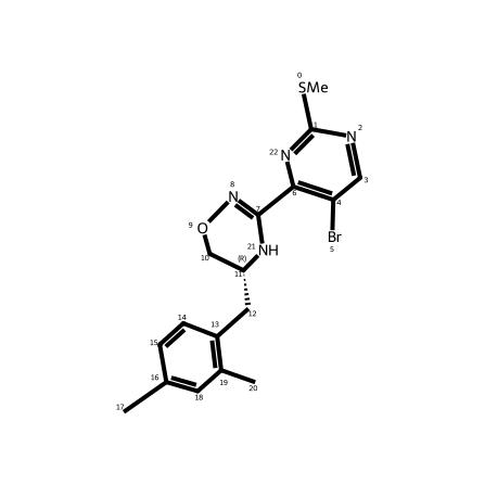 CSc1ncc(Br)c(C2=NOC[C@@H](Cc3ccc(C)cc3C)N2)n1